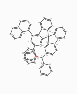 c1ccc(-c2nc(-c3cccc4ccccc34)c3c(n2)C2(c4ccccc4-c4ccc(C(c5ccccc5)c5ccccc5)cc42)c2ccccc2-3)cc1